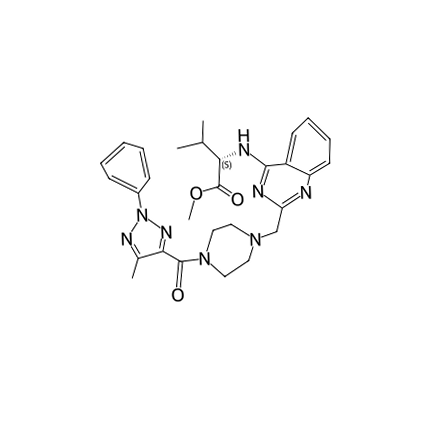 COC(=O)[C@@H](Nc1nc(CN2CCN(C(=O)c3nn(-c4ccccc4)nc3C)CC2)nc2ccccc12)C(C)C